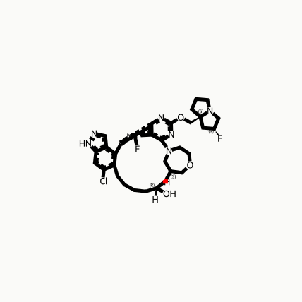 O[C@@H]1CCCCc2c(Cl)cc3[nH]ncc3c2-c2ncc3c(nc(OC[C@@]45CCCN4C[C@H](F)C5)nc3c2F)N2CCOC[C@@H](C1)C2